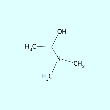 CC(O)N(C)C